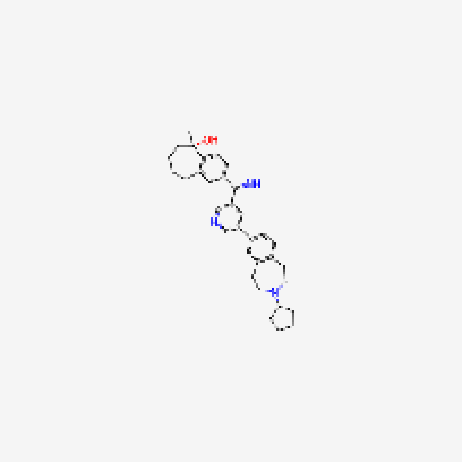 CC1(O)CCCCc2cc(C(=N)c3cncc(-c4ccc5c(c4)CCN(C4CCCC4)CC5)c3)ccc21